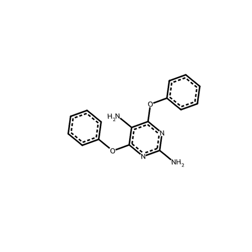 Nc1nc(Oc2ccccc2)c(N)c(Oc2ccccc2)n1